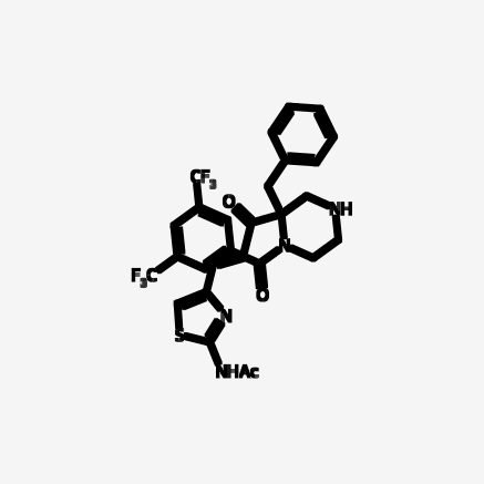 CC(=O)Nc1nc(/C=C/C(=O)C2(Cc3ccccc3)CNCCN2C(=O)c2cc(C(F)(F)F)cc(C(F)(F)F)c2)cs1